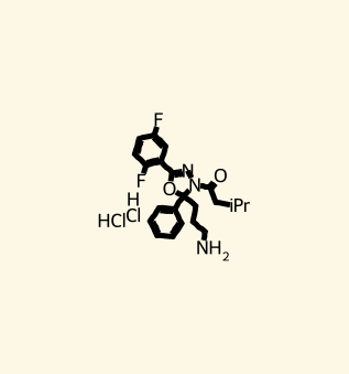 CC(C)CC(=O)N1N=C(c2cc(F)ccc2F)OC1(CCCN)c1ccccc1.Cl.Cl